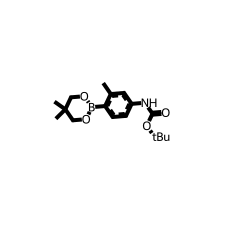 Cc1cc(NC(=O)OC(C)(C)C)ccc1B1OCC(C)(C)CO1